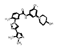 Cc1ccc(C(=O)Nc2cc(N3CCC(O)CC3)cc(C(F)(F)F)c2)cc1-n1cc(-c2cnn(C)c2C)nn1